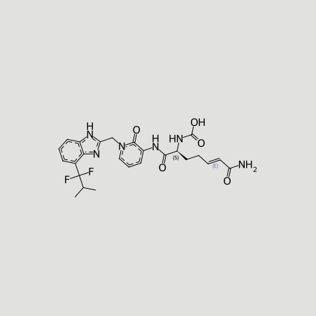 CC(C)C(F)(F)c1cccc2[nH]c(Cn3cccc(NC(=O)[C@H](CC/C=C/C(N)=O)NC(=O)O)c3=O)nc12